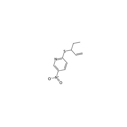 C=CC(CC)Sc1ccc([N+](=O)[O-])cn1